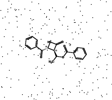 CC(OC(=O)c1ccccc1)[C@@H]1C(=O)N[C@H]1C(=O)c1ccccc1